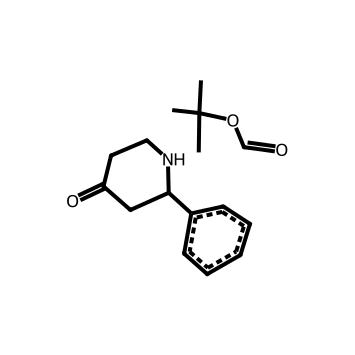 CC(C)(C)OC=O.O=C1CCNC(c2ccccc2)C1